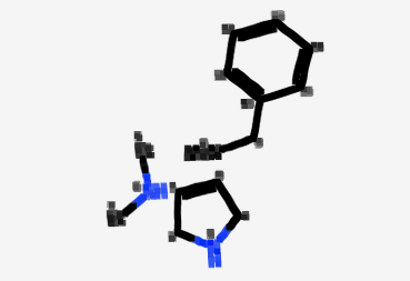 C1=CCNC1.CCNCC.CNCc1ccccc1